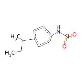 CCC(C)c1ccc(N[SH](=O)=O)cc1